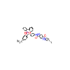 CNC(=O)c1ccc(C(=O)Nc2ccc(C(c3ccc(C)cc3)P3(=O)Oc4ccccc4-c4ccccc43)cc2)cc1